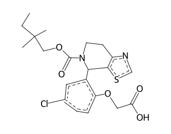 CCC(C)(C)COC(=O)N1CCc2ncsc2C1c1cc(Cl)ccc1OCC(=O)O